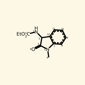 CCOC(=O)NC1C(=O)N(C)c2ccccc21